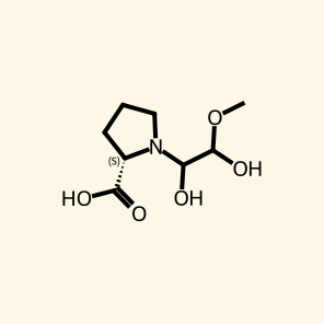 COC(O)C(O)N1CCC[C@H]1C(=O)O